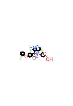 Cc1cc(Oc2ccccc2F)cc(F)c1C(=O)c1c[nH]c2ncc(F)c(N[C@@H]3CC[C@@H](CO)OC3)c12